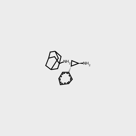 NC12CC3CC(CC(C3)C1)C2.N[C@@H]1C[C@H]1c1ccccc1